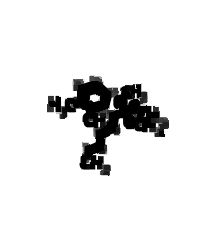 CCCCCC[Si](OC)(OC)OC.Cc1ccccc1C